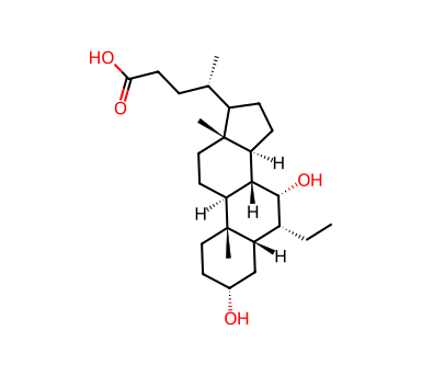 CC[C@H]1[C@@H](O)[C@@H]2[C@H](CC[C@]3(C)C([C@@H](C)CCC(=O)O)CC[C@@H]23)[C@@]2(C)CC[C@@H](O)C[C@@H]12